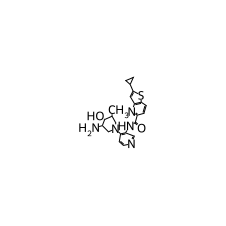 CC1CN(c2ccncc2NC(=O)c2ccc3sc(C4CC4)cc3n2)CC(N)C1O